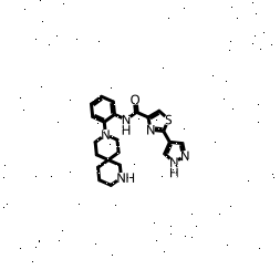 O=C(Nc1ccccc1N1CCC2(CCCNC2)CC1)c1csc(-c2cn[nH]c2)n1